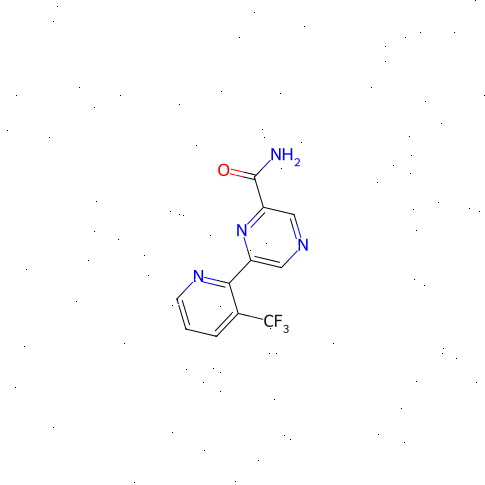 NC(=O)c1cncc(-c2ncccc2C(F)(F)F)n1